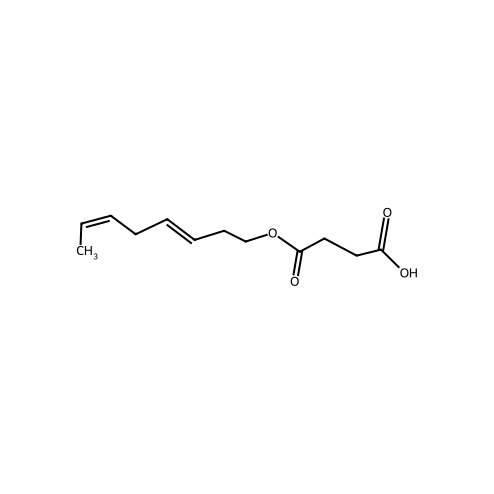 C/C=C\C/C=C/CCOC(=O)CCC(=O)O